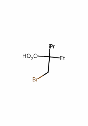 CCC(CBr)(C(=O)O)C(C)C